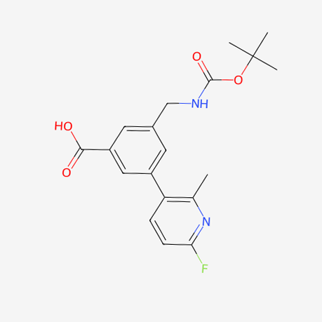 Cc1nc(F)ccc1-c1cc(CNC(=O)OC(C)(C)C)cc(C(=O)O)c1